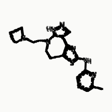 Cc1cccc(Nc2nc3c(s2)CCN(CCN2CCC2)c2[nH]ncc2-3)n1